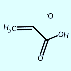 C=CC(=O)O.[O]